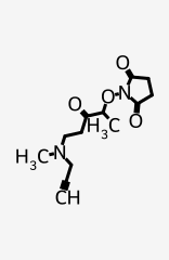 C#CCN(C)CCC(=O)C(C)ON1C(=O)CCC1=O